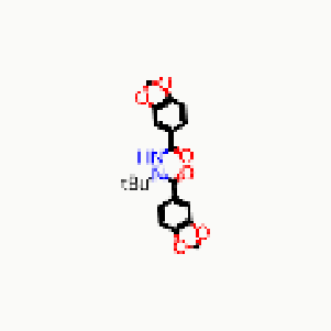 CC(C)(C)N(NC(=O)c1ccc2c(c1)OCO2)C(=O)c1ccc2c(c1)OCO2